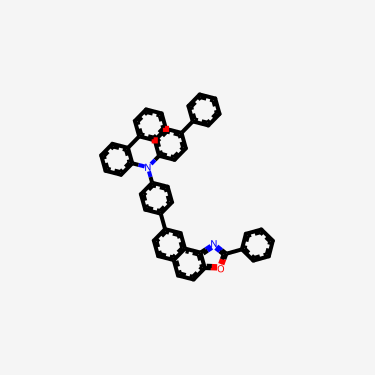 c1ccc(-c2ccc(N(c3ccc(-c4ccc5ccc6oc(-c7ccccc7)nc6c5c4)cc3)c3ccccc3-c3ccccc3)cc2)cc1